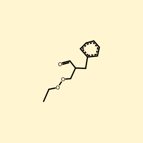 CCOOCC(C=O)Cc1ccccc1